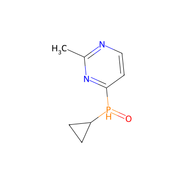 Cc1nccc([PH](=O)C2CC2)n1